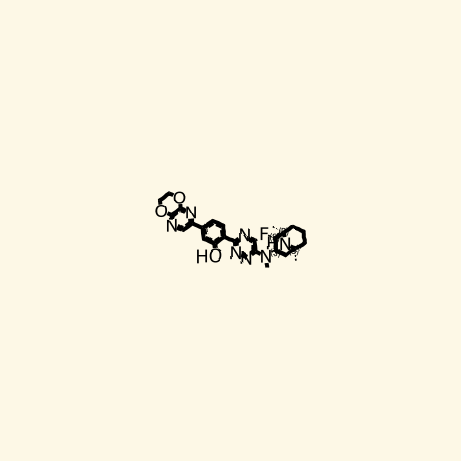 CN(c1cnc(-c2ccc(-c3cnc4c(n3)OCCO4)cc2O)nn1)[C@H]1C[C@]2(C)CCC[C@@](C)(N2)[C@H]1F